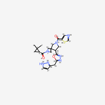 CC1(C)C[C@@H]1C(=O)N1CC2(CN(C(=O)c3cncs3)CC2c2nnc(Cc3cc[nH]n3)o2)C1